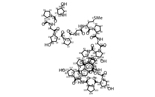 CSCC[C@H](NC(=O)CNC(=O)[C@@H]1CCCN1C(=O)[C@@H]1C[C@@H](O)CN1C(=O)CNC(=O)[C@@H]1CCCN1C(=O)[C@@H]1C[C@@H](O)CN1)C(=O)N1CCC[C@H]1C(=O)NCC(=O)N1C[C@H](O)C[C@H]1C(=O)N1CCC[C@H]1C(=O)NCC(=O)N1C[C@H](O)C[C@H]1C(=O)N1CCC[C@H]1C(=O)NCC(=O)N1C[C@H](O)C[C@H]1C(=O)N1CCC[C@H]1C(=O)NCC(=O)N1C[C@H](O)C[C@H]1C(=O)N1CCC[C@H]1C(=O)O